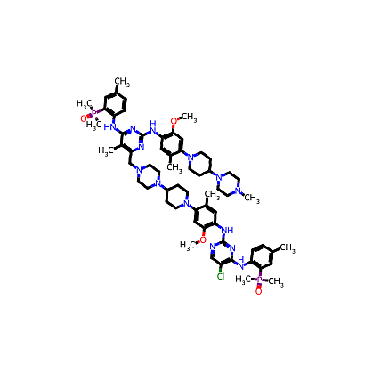 COc1cc(N2CCC(N3CCN(Cc4nc(Nc5cc(C)c(N6CCC(N7CCN(C)CC7)CC6)cc5OC)nc(Nc5ccc(C)cc5P(C)(C)=O)c4C)CC3)CC2)c(C)cc1Nc1ncc(Cl)c(Nc2ccc(C)cc2P(C)(C)=O)n1